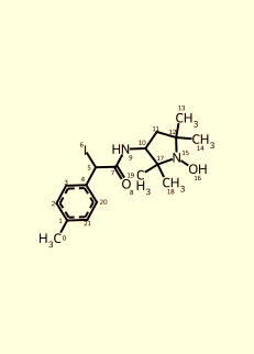 Cc1ccc(C(I)C(=O)NC2CC(C)(C)N(O)C2(C)C)cc1